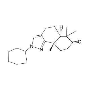 CC1(C)C(=O)CC[C@]2(C)c3nn(C4CCCCC4)cc3CC[C@@H]12